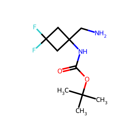 CC(C)(C)OC(=O)NC1(CN)CC(F)(F)C1